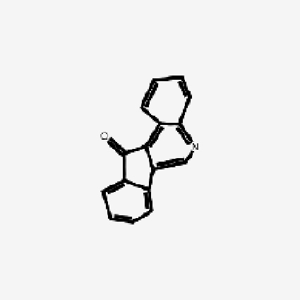 O=C1c2ccccc2-c2cnc3ccccc3c21